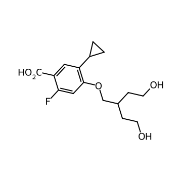 O=C(O)c1cc(C2CC2)c(OCC(CCO)CCO)cc1F